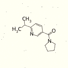 CC(C)c1ccc(C(=O)N2CCCC2)cn1